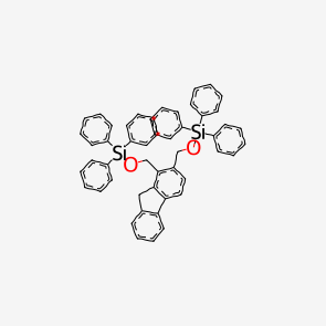 c1ccc([Si](OCc2ccc3c(c2CO[Si](c2ccccc2)(c2ccccc2)c2ccccc2)Cc2ccccc2-3)(c2ccccc2)c2ccccc2)cc1